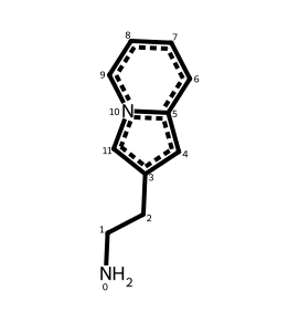 NCCc1cc2ccccn2c1